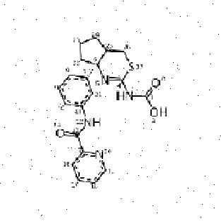 O=C(O)NC1=N[C@@]2(c3cccc(NC(=O)c4ccccn4)c3)CCCC2CS1